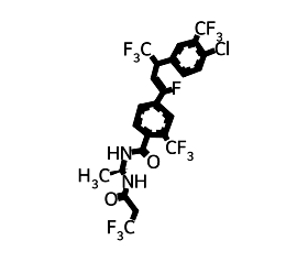 C[C@H](NC(=O)CC(F)(F)F)NC(=O)c1ccc(/C(F)=C/C(c2ccc(Cl)c(C(F)(F)F)c2)C(F)(F)F)cc1C(F)(F)F